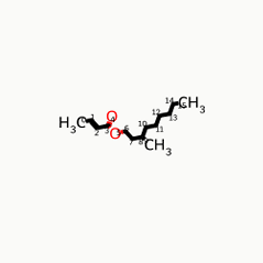 CC=CC(=O)OCCC(C)CCCCCC